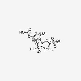 Cc1cc(S(=O)(=O)O)c(-n2[nH]c(OC(=O)O)cc2=O)cc1S(=O)(=O)O